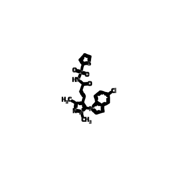 Cc1nn(C)c(-n2ccc3cc(Cl)ccc32)c1C=CC(=O)NS(=O)(=O)c1cccs1